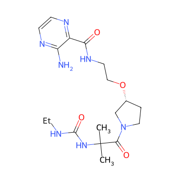 CCNC(=O)NC(C)(C)C(=O)N1CC[C@@H](OCCNC(=O)c2nccnc2N)C1